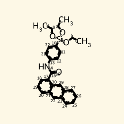 CCO[Si](OCC)(OCC)c1ccc(NC(=O)c2cccc3cc4ccccc4cc23)cc1